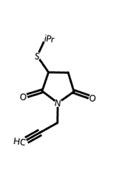 C#CCN1C(=O)CC(SC(C)C)C1=O